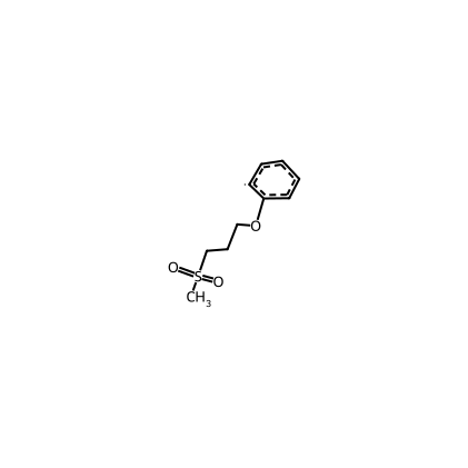 CS(=O)(=O)CCCOc1[c]cccc1